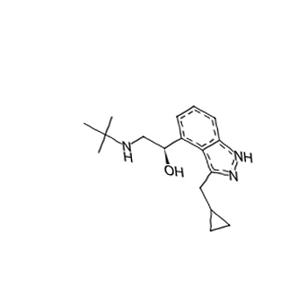 CC(C)(C)NC[C@H](O)c1cccc2[nH]nc(CC3CC3)c12